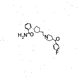 NC(=O)c1ccccc1[C@H]1CC[C@H](CCN2CCC(C(=O)c3ccc(F)cc3)CC2)CC1